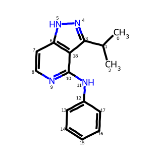 CC(C)c1n[nH]c2ccnc(Nc3ccccc3)c12